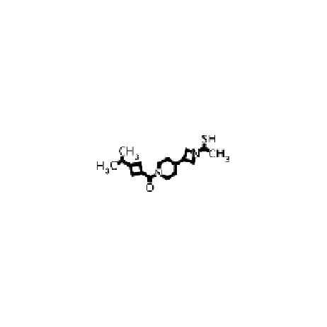 CC(C)C1CC(C(=O)N2CCC(C3CN(C(C)S)C3)CC2)C1